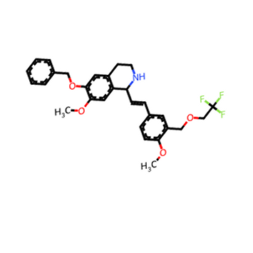 COc1ccc(C=CC2NCCc3cc(OCc4ccccc4)c(OC)cc32)cc1COCC(F)(F)F